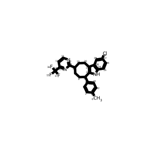 Cc1ccc(C2CCC(c3nccc(C(F)(F)F)n3)CCc3c2[nH]c2ccc(Cl)cc32)cc1